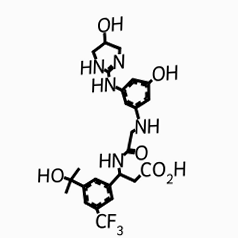 CC(C)(O)c1cc(C(CC(=O)O)NC(=O)CNc2cc(O)cc(NC3=NCC(O)CN3)c2)cc(C(F)(F)F)c1